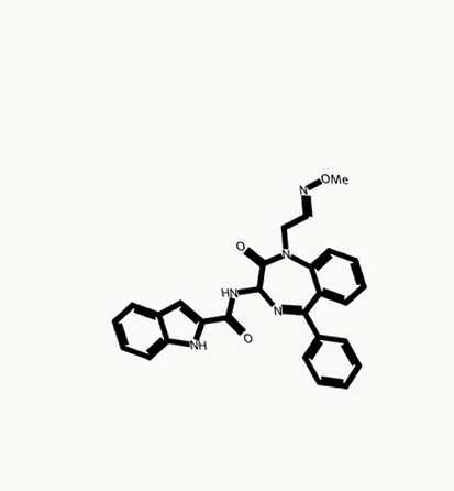 CON=CCN1C(=O)C(NC(=O)c2cc3ccccc3[nH]2)N=C(c2ccccc2)c2ccccc21